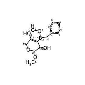 COB(Cc1ccccc1)C1=C(O)COC(OC)C1O